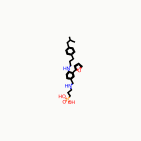 CC(C)Cc1ccc(CCCNc2ccc(CNCCCP(=O)(O)O)cc2-c2ccco2)cc1